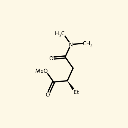 CC[C@H](CC(=O)N(C)C)C(=O)OC